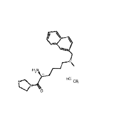 CN(CCCC[C@H](N)C(=O)N1CCSC1)Cc1ccc2ccccc2c1.Cl.Cl